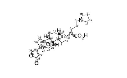 C[C@]12CC[C@H](N(CCCN3CCCC3)C(=O)O)C[C@H]1CC[C@@H]1[C@@H]2CC[C@]2(C)[C@@H](C3=CC(=O)OC3)CC[C@]12O